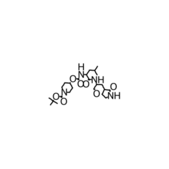 CC(C)CC(NC(=O)OC1CCN(C(=O)OC(C)(C)C)CC1)C(=O)NC(C=O)CC1CCNC1=O